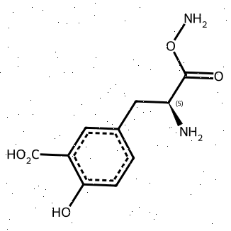 NOC(=O)[C@@H](N)Cc1ccc(O)c(C(=O)O)c1